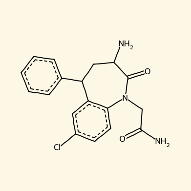 NC(=O)CN1C(=O)C(N)CC(c2ccccc2)c2cc(Cl)ccc21